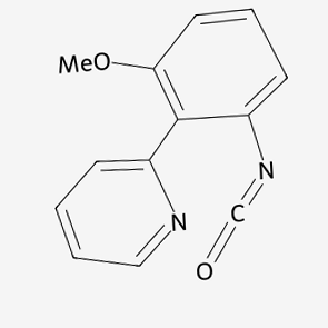 COc1cccc(N=C=O)c1-c1ccccn1